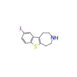 Ic1ccc2sc3c(c2c1)CCNCC3